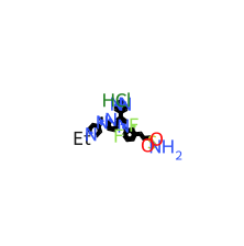 CCN1CCC(N(C)c2ccc3c(n2)c(-c2cncnc2)cn3-c2c(F)ccc(CCCS(N)(=O)=O)c2F)CC1.Cl